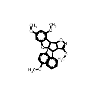 COc1ccc([C@@]23Oc4cc(OC)cc(OC)c4C2C2ON=C(SC)C2[C@H]3c2ccccc2)cc1